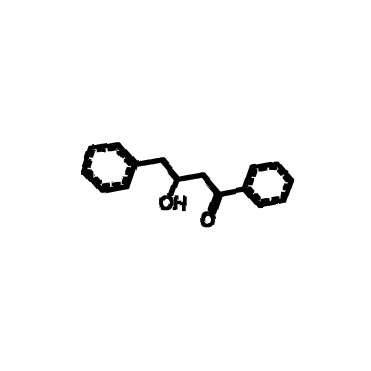 O=C(CC(O)Cc1ccccc1)c1ccccc1